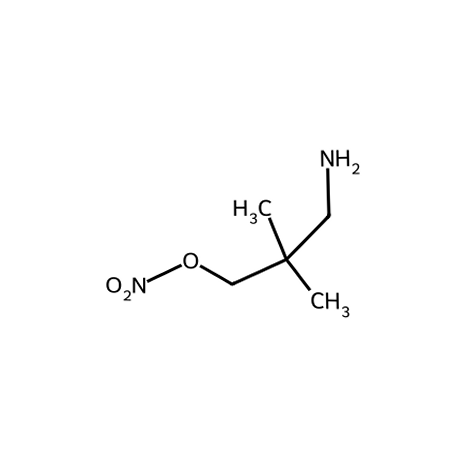 CC(C)(CN)CO[N+](=O)[O-]